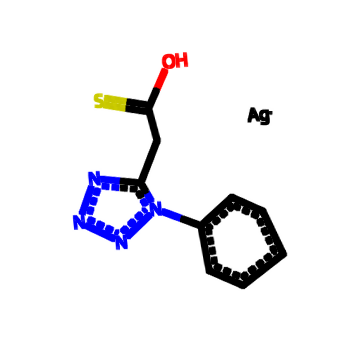 OC(=S)Cc1nnnn1-c1ccccc1.[Ag]